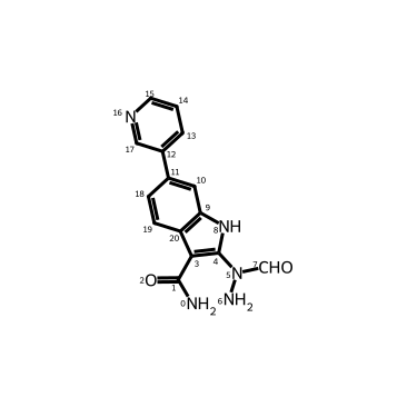 NC(=O)c1c(N(N)C=O)[nH]c2cc(-c3cccnc3)ccc12